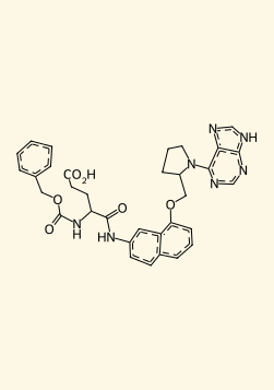 O=C(O)CCC(NC(=O)OCc1ccccc1)C(=O)Nc1ccc2cccc(OCC3CCCN3c3ncnc4[nH]cnc34)c2c1